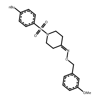 CCCCc1ccc(S(=O)(=O)N2CCC(=NOCc3cccc(OC)c3)CC2)cc1